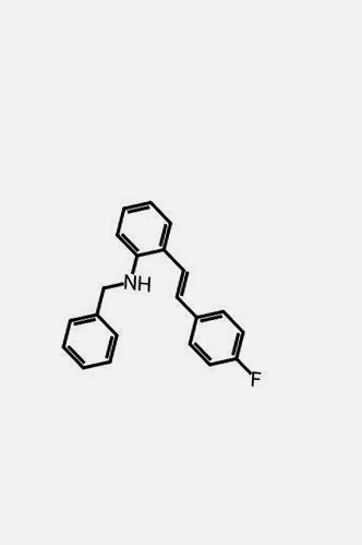 Fc1ccc(/C=C/c2ccccc2NCc2ccccc2)cc1